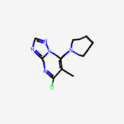 Cc1c(Cl)nc2ncnn2c1N1CCCC1